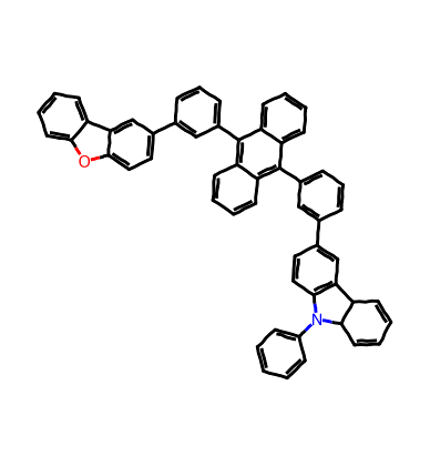 C1=CC2c3cc(-c4cccc(-c5c6ccccc6c(-c6cccc(-c7ccc8oc9ccccc9c8c7)c6)c6ccccc56)c4)ccc3N(c3ccccc3)C2C=C1